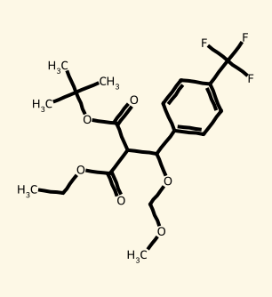 CCOC(=O)C(C(=O)OC(C)(C)C)C(OCOC)c1ccc(C(F)(F)F)cc1